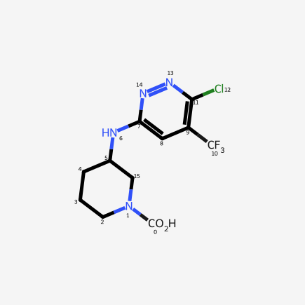 O=C(O)N1CCCC(Nc2cc(C(F)(F)F)c(Cl)nn2)C1